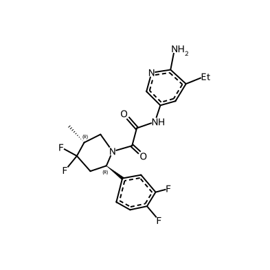 CCc1cc(NC(=O)C(=O)N2C[C@@H](C)C(F)(F)C[C@@H]2c2ccc(F)c(F)c2)cnc1N